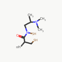 CCCC(CS)C(=O)N(S)CC(C)N(C)C